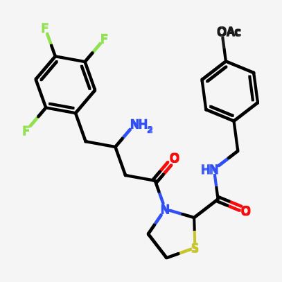 CC(=O)Oc1ccc(CNC(=O)C2SCCN2C(=O)CC(N)Cc2cc(F)c(F)cc2F)cc1